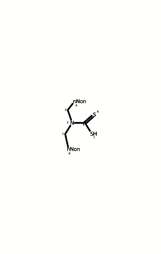 CCCCCCCCCCN(CCCCCCCCCC)C(=S)S